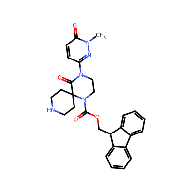 Cn1nc(N2CCN(C(=O)OCC3c4ccccc4-c4ccccc43)C3(CCNCC3)C2=O)ccc1=O